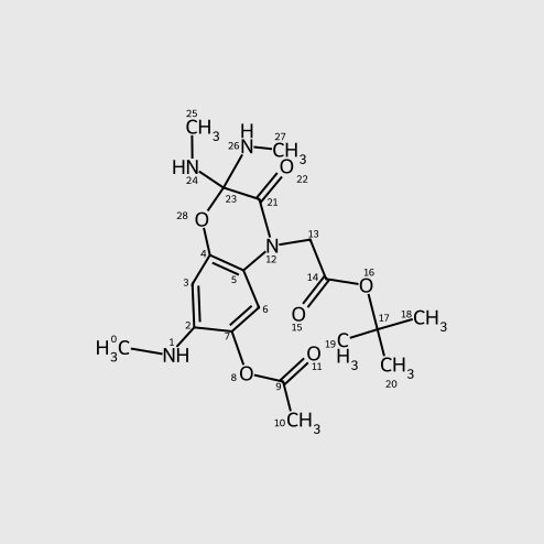 CNc1cc2c(cc1OC(C)=O)N(CC(=O)OC(C)(C)C)C(=O)C(NC)(NC)O2